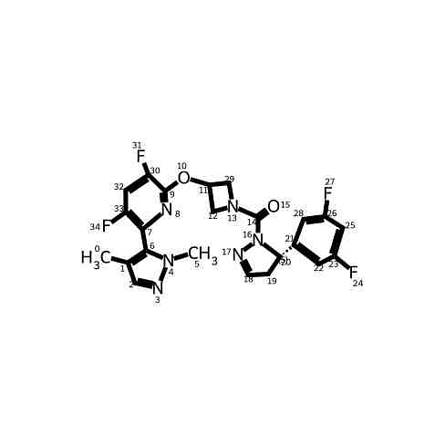 Cc1cnn(C)c1-c1nc(OC2CN(C(=O)N3N=CC[C@H]3c3cc(F)cc(F)c3)C2)c(F)cc1F